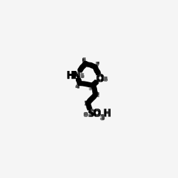 O=S(=O)(O)CCC1CNCCO1